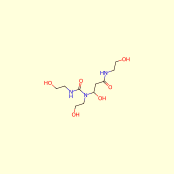 O=C(CC(O)N(CCO)C(=O)NCCO)NCCO